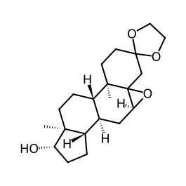 C[C@]12CC[C@H]3[C@@H](C[C@@H]4OC45CC4(CC[C@]35C)OCCO4)[C@@H]1CC[C@@H]2O